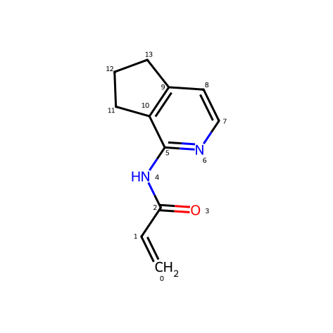 C=CC(=O)Nc1nccc2c1CCC2